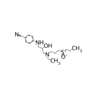 CCC[S+]([O-])CCCN(CC)CC(O)CNc1ccc(C#N)cc1